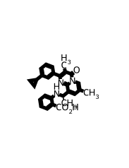 Cc1cc([C@H](C)Nc2ccccc2C(=O)O)c2nc(-c3cccc(C4CC4)c3)c(C)c(=O)n2c1